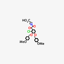 COc1ccc(COc2ccc(C(=O)C(=O)N3CC(C(=O)O)C3)c(Cl)c2OCc2ccc(OC)cc2)cc1